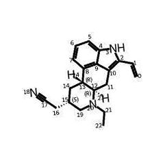 C=Cc1[nH]c2cccc3c2c1C[C@@H]1[C@@H]3C[C@@H](CC#N)CN1CC